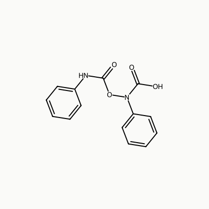 O=C(Nc1ccccc1)ON(C(=O)O)c1ccccc1